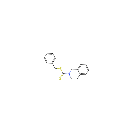 S=C(SCc1ccccc1)N1CCc2ccccc2C1